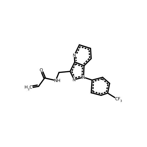 C=CC(=O)NCc1nn(-c2ccc(C(F)(F)F)cc2)c2cccnc12